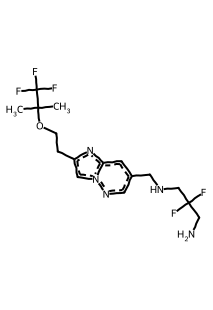 CC(C)(OCCc1cn2ncc(CNCC(F)(F)CN)cc2n1)C(F)(F)F